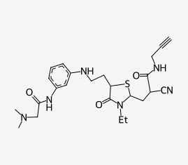 C#CCNC(=O)C(C#N)CC1SC(CCNc2cccc(NC(=O)CN(C)C)c2)C(=O)N1CC